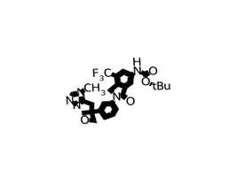 Cn1cnnc1CC1(c2cccc(N3Cc4c(cc(NC(=O)OC(C)(C)C)cc4C(F)(F)F)C3=O)c2)COC1